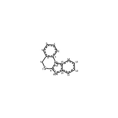 c1ccc2c(c1)CSc1nc3ccccc3n1-2